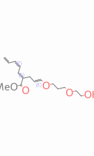 C=C/C=C\C=C(/C/C=C/OCCCOCCO)C(=O)OC